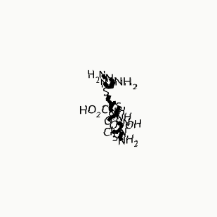 Nc1cc(SC=CC2=C(C(=O)O)N3C(=O)[C@@H](NC(=O)C(=NO)c4nc(N)sc4Cl)[C@H]3SC2)nc(N)n1